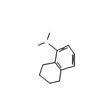 CC(=O)N(C)c1cccc2c1CCCC2